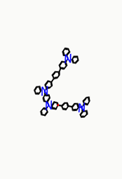 c1ccc(N(c2ccccc2)c2ccc(-c3ccc(-c4ccc(N(c5ccccc5)c5ccc(N(c6ccccc6)c6ccc(-c7ccc(-c8ccc(N(c9ccccc9)c9ccccc9)cc8)cc7)cc6)cc5)cc4)cc3)cc2)cc1